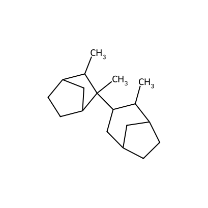 CC1C2CCC(C2)CC1C1(C)C2CCC(C2)C1C